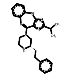 CC(C)c1nc2c(s1)Nc1ccccc1N=C2N1CCN[C@@H](CCc2ccccc2)C1